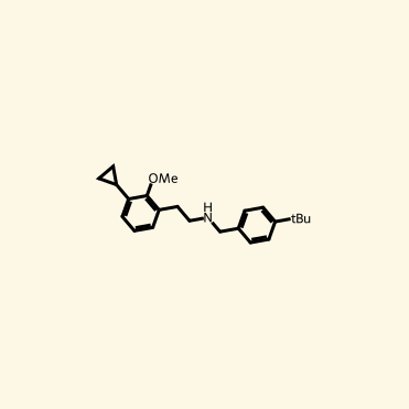 COc1c(CCNCc2ccc(C(C)(C)C)cc2)cccc1C1CC1